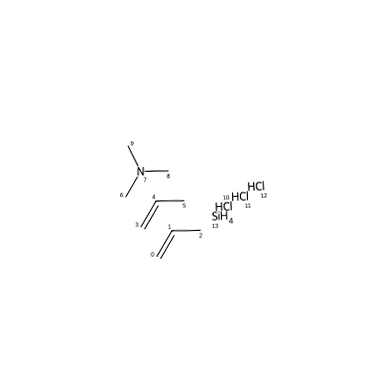 C=CC.C=CC.CN(C)C.Cl.Cl.Cl.[SiH4]